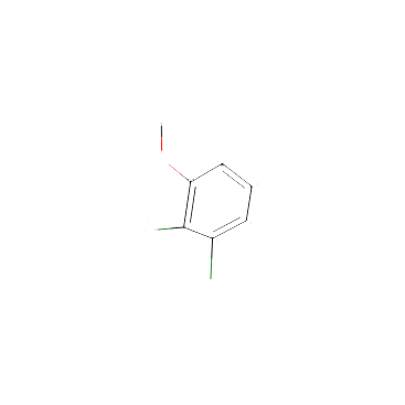 FC(F)(F)Oc1[c]ccc(Cl)c1Cl